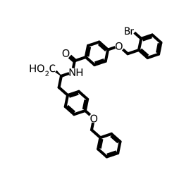 O=C(N[C@@H](Cc1ccc(OCc2ccccc2)cc1)C(=O)O)c1ccc(OCc2ccccc2Br)cc1